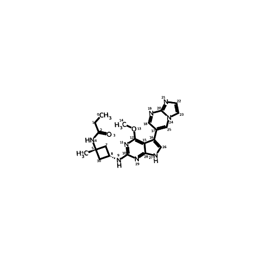 CCC(=O)N[C@]1(C)C[C@H](Nc2nc(OC)c3c(-c4cnc5nccn5c4)c[nH]c3n2)C1